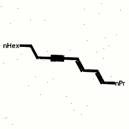 [CH2]CCCCCCCC#C/C=C/C=C/CCC